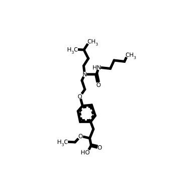 CCCCNC(=O)N(CCOc1ccc(CC(OCC)C(=O)O)cc1)CCC(C)C